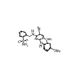 COc1ccc(Nc2ncc(Br)c(NCc3ccccc3S(N)(=O)=O)n2)c(OC)c1